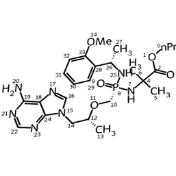 CCCOC(=O)C(C)(C)N[P@](=O)(CO[C@H](C)Cn1cnc2c(N)ncnc21)N[C@@H](C)c1ccccc1OC